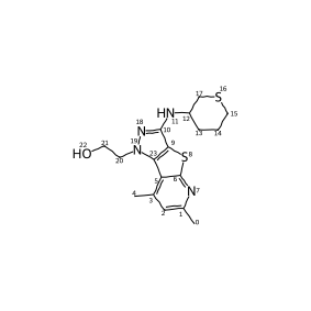 Cc1cc(C)c2c(n1)sc1c(NC3CCCSC3)nn(CCO)c12